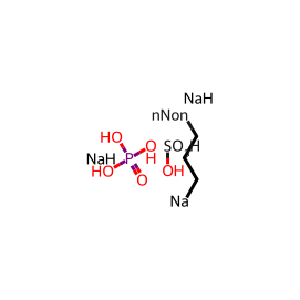 CCCCCCCCCCC[CH2][Na].O=P(O)(O)O.O=S(=O)(O)O.[NaH].[NaH]